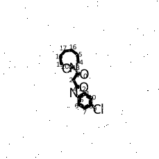 O=C(Cc1nc2ccc(Cl)cc2o1)N1CCCCCCO1